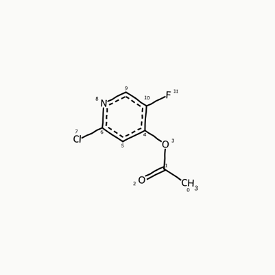 CC(=O)Oc1cc(Cl)ncc1F